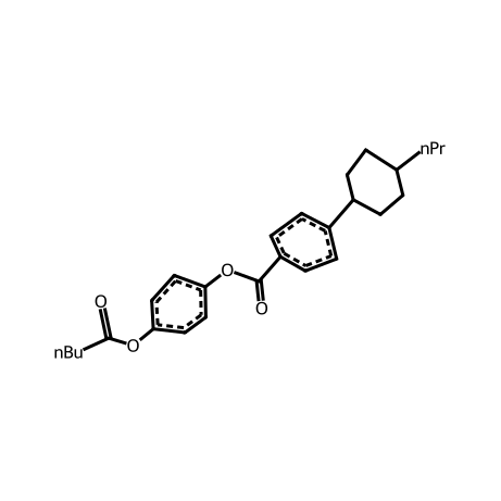 CCCCC(=O)Oc1ccc(OC(=O)c2ccc(C3CCC(CCC)CC3)cc2)cc1